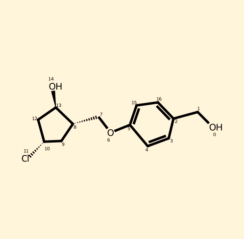 OCc1ccc(OC[C@@H]2C[C@H](Cl)C[C@H]2O)cc1